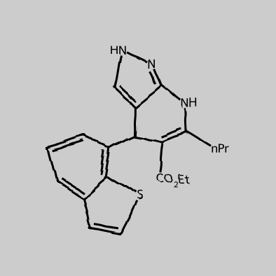 CCCC1=C(C(=O)OCC)C(c2cccc3ccsc23)c2c[nH]nc2N1